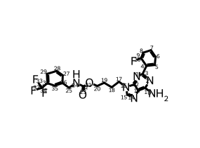 Nc1nc(-c2ccccc2F)nc2c1ncn2CCCCOC(=O)NCc1cccc(C(F)(F)F)c1